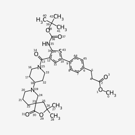 COC(=O)CCc1ccc(-c2cc(C(=O)N3CCC(N4CCCC5(C4)CC(C)(C)OC5=O)CC3)c(NC(=O)OC(C)(C)C)s2)cc1